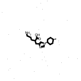 C[C@H]1CC[C@@H](n2cnc(CC(CCCN)C(=O)O)c2)CC1